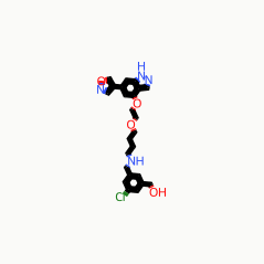 OCc1cc(Cl)cc(CNCCCCOCCOc2cc(-c3cnoc3)cc3[nH]ncc23)c1